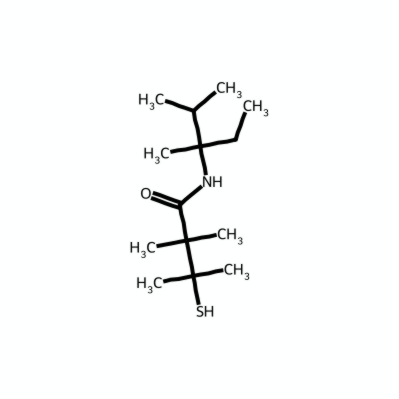 CCC(C)(NC(=O)C(C)(C)C(C)(C)S)C(C)C